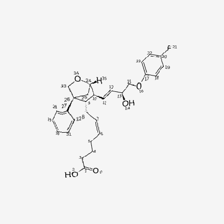 O=C(O)CCC/C=C\C[C@H]1[C@H](/C=C/[C@H](O)COc2ccc(F)cc2)[C@@H]2C[C@@]1(c1ccccc1)CO2